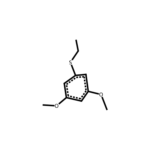 CCSc1cc(OC)cc(OC)c1